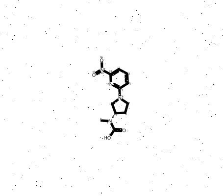 CN(C(=O)O)[C@H]1CCN(c2cccc([N+](=O)[O-])n2)C1